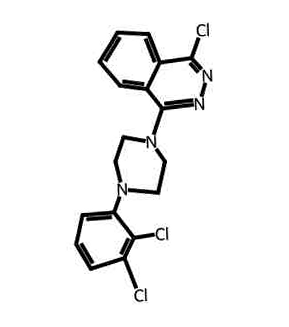 Clc1cccc(N2CCN(c3nnc(Cl)c4ccccc34)CC2)c1Cl